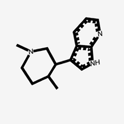 CC1CCN(C)CC1c1c[nH]c2ncccc12